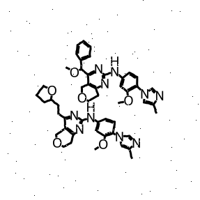 COc1cc(Nc2nc3c(c(C(OC)c4ccccc4)n2)COCC3)ccc1-n1cnc(C)c1.COc1cc(Nc2nc3c(c(CCC4CCCO4)n2)COCC3)ccc1-n1cnc(C)c1